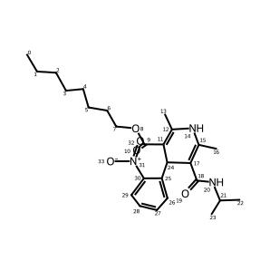 CCCCCCCCOC(=O)C1=C(C)NC(C)=C(C(=O)NC(C)C)C1c1ccccc1[N+](=O)[O-]